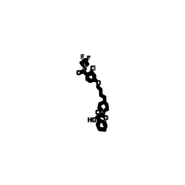 O=C(c1ccc(OCCCCC2CCN(C(=O)[C@](O)(c3ccccc3)C(F)(F)F)CC2)cc1Cl)N1CC(F)(F)C1